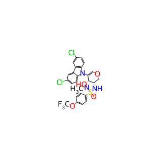 CN=S(=O)(N[C@H]1COC=C(n2c3ccc(Cl)cc3c3cc(Cl)ccc32)[C@H]1O)c1ccc(OC(F)(F)F)cc1